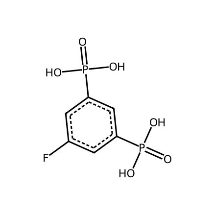 O=P(O)(O)c1cc(F)cc(P(=O)(O)O)c1